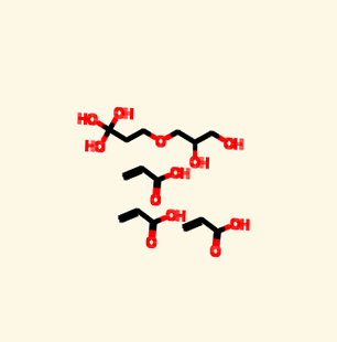 C=CC(=O)O.C=CC(=O)O.C=CC(=O)O.OCC(O)COCCC(O)(O)O